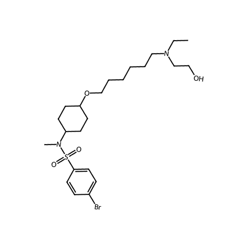 CCN(CCO)CCCCCCOC1CCC(N(C)S(=O)(=O)c2ccc(Br)cc2)CC1